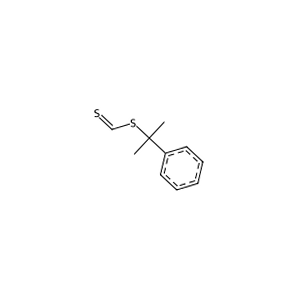 CC(C)(SC=S)c1ccccc1